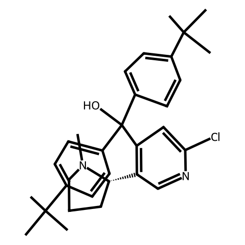 CN1CCC[C@H]1c1cnc(Cl)cc1C(O)(c1ccc(C(C)(C)C)cc1)c1ccc(C(C)(C)C)cc1